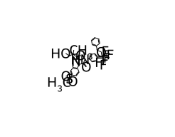 CC(CO)C(=O)N1Cc2cc(S(C)(=O)=O)ccc2C1C(=O)Nc1ccc(C(OCc2ccccc2)(C(F)(F)F)C(F)(F)F)cc1